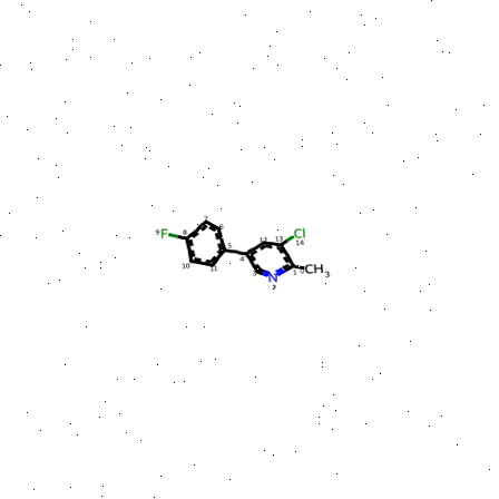 Cc1ncc(-c2ccc(F)cc2)cc1Cl